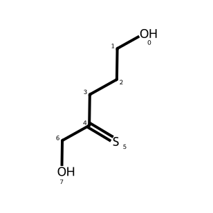 OCCCC(=S)CO